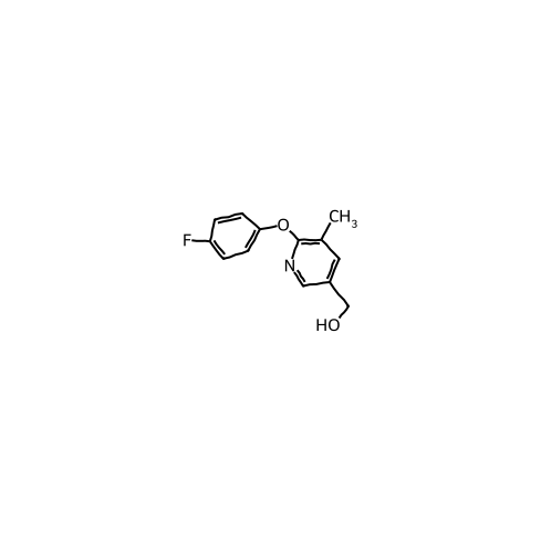 Cc1cc(CO)cnc1Oc1ccc(F)cc1